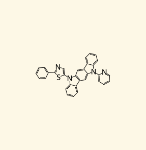 c1ccc(-c2ncc(-n3c4ccccc4c4cc5c(cc43)c3ccccc3n5-c3ccccn3)s2)cc1